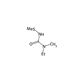 CCN(C)C(=O)NSC